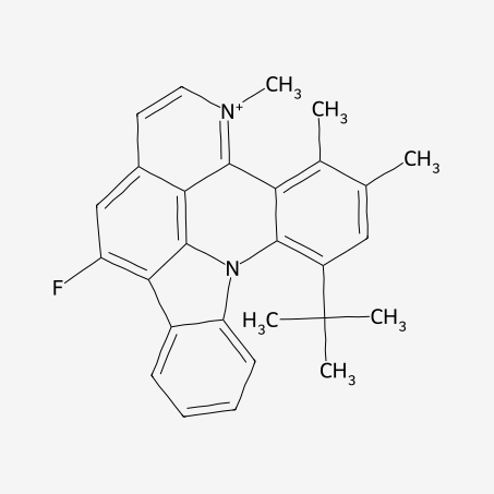 Cc1cc(C(C)(C)C)c2c(c1C)c1c3c(cc[n+]1C)cc(F)c1c4ccccc4n2c13